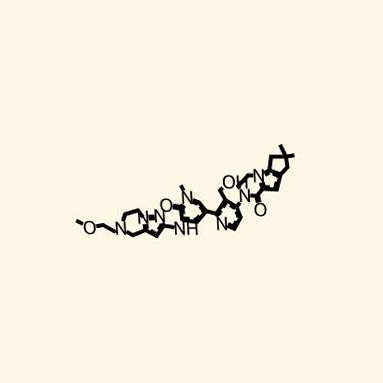 COCCN1CCn2nc(Nc3cc(-c4nccc(N5CCn6c(cc7c6CC(C)(C)C7)C5=O)c4CO)cn(C)c3=O)cc2C1